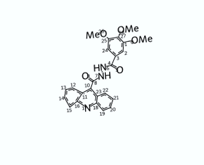 COc1cc(C(=O)NNC(=O)c2c3ccccc3nc3ccccc23)cc(OC)c1OC